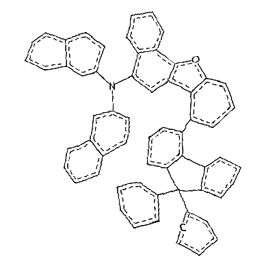 c1ccc(C2(c3ccccc3)c3ccccc3-c3c(-c4cccc5oc6c7ccccc7c(N(c7ccc8ccccc8c7)c7ccc8ccccc8c7)cc6c45)cccc32)cc1